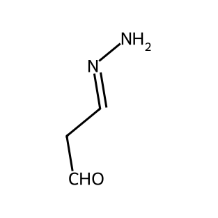 NN=CCC=O